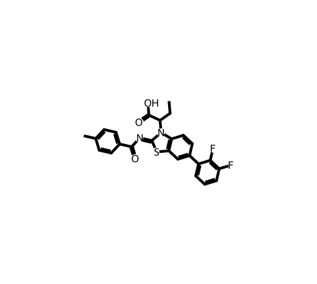 CCC(C(=O)O)n1c(=NC(=O)c2ccc(C)cc2)sc2cc(-c3cccc(F)c3F)ccc21